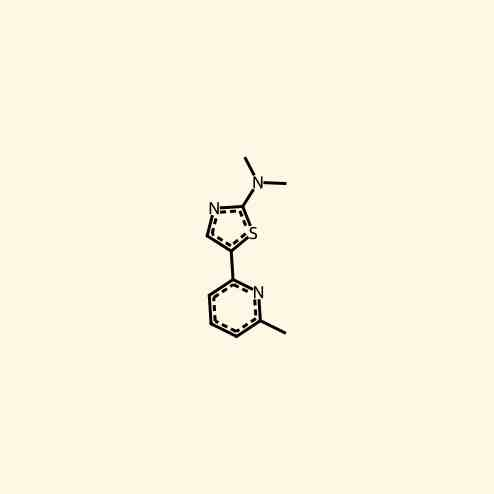 Cc1cccc(-c2cnc(N(C)C)s2)n1